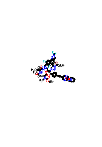 COC(=O)N[C@H](C(=O)NN(Cc1c(F)cc(-c2ccn(C(F)F)n2)cc1F)C[C@H](OC(=O)CN(C)C(=O)OC(C)(C)C)[C@H](Cc1ccc(C#Cc2cnc(N3CC4CCC(C3)N4C3COC3)nc2)cc1)NC[C@@H](NC(=O)OC)C(C)(C)C(F)(F)F)C(C)(C)C(F)(F)F